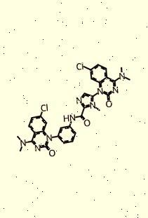 CN(C)c1nc(=O)n(-c2cccc(NC(=O)c3ncc(-n4c(=O)nc(N(C)C)c5ccc(Cl)cc54)n3C)c2)c2cc(Cl)ccc12